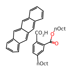 CCCCCCCCOC(=O)c1cc(CCCCCCCC)ccc1C(=O)O.c1ccc2cc3cc4ccccc4cc3cc2c1